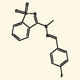 CN(/N=C/c1ccc(F)cc1)C1=NS(=O)(=O)c2ccccc21